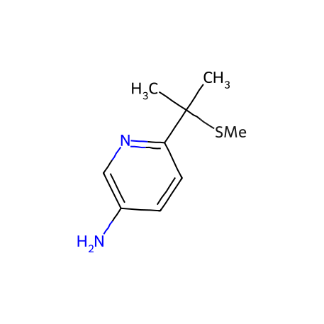 CSC(C)(C)c1ccc(N)cn1